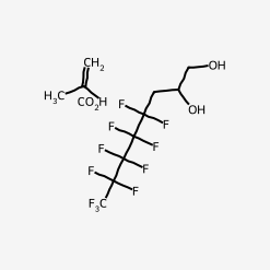 C=C(C)C(=O)O.OCC(O)CC(F)(F)C(F)(F)C(F)(F)C(F)(F)C(F)(F)F